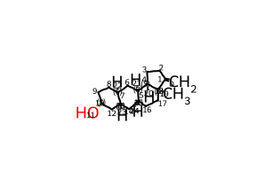 C=C1CC[C@H]2[C@@H]3C[C@@H]4CC[C@H](O)C[C@H]4C[C@H]3CC[C@]12C